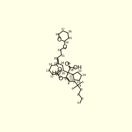 CCCCC(C)(C)C/C=C(/OC1CCCCO1)[C@](C(=O)O)(C1CCCC1)[C@H](O)C/C=C\CCOC1CCCCO1